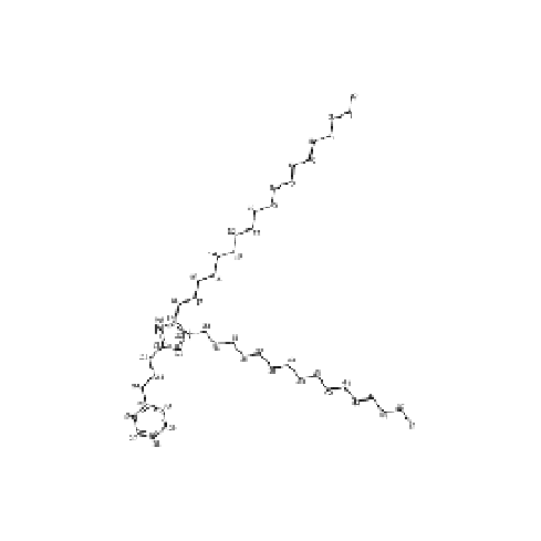 CCCCCCCCCCCCCCCCCCCc1nc(CCCc2ccccc2)cn1CCCCCCCCCCCCCCCC